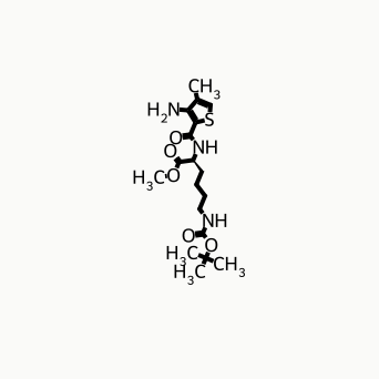 COC(=O)[C@H](CCCCNC(=O)OC(C)(C)C)NC(=O)c1scc(C)c1N